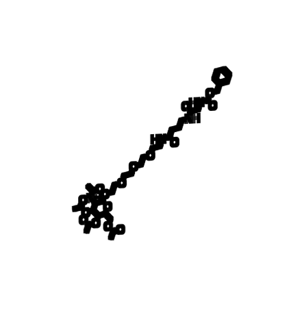 CC(=O)NC1C(OCCOCCOCCOCCNC(=O)CCCNC(=O)CNC(=O)OCc2ccccc2)OC(COC(C)=O)C(OC(C)=O)C1OC(C)=O